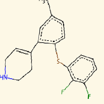 Cc1ccc(Sc2cccc(F)c2F)c(C2=CCNCC2)c1